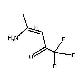 C/C(N)=C/C(=O)C(F)(F)F